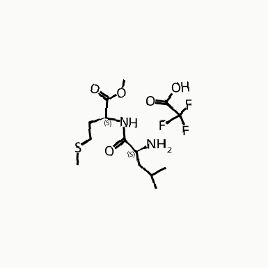 COC(=O)[C@H](CCSC)NC(=O)[C@@H](N)CC(C)C.O=C(O)C(F)(F)F